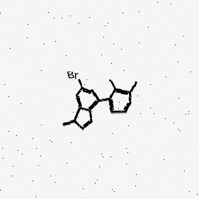 Cc1cccc(-c2cc(Br)cc3c2C=CC3C)c1C